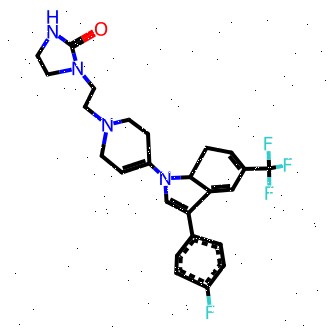 O=C1NCCN1CCN1CC=C(N2C=C(c3ccc(F)cc3)C3=CC(C(F)(F)F)=CCC32)CC1